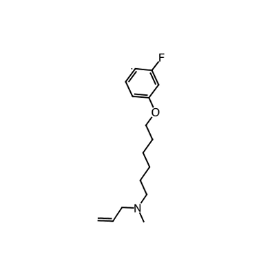 C=CCN(C)CCCCCCOc1cc[c]c(F)c1